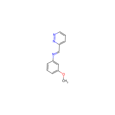 COc1cccc(/N=C/c2cccnn2)c1